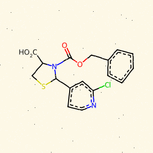 O=C(O)C1CSC(c2ccnc(Cl)c2)N1C(=O)OCc1ccccc1